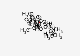 CCC[C@H](CCOCc1ccccc1)Oc1nc(N(Cc2ccc(OC)cc2OC)Cc2ccc(OC)cc2OC)c2ncc(C(O)c3ccc(OCCN(C)C(=O)OC(C)(C)C)c(C)c3)n2n1